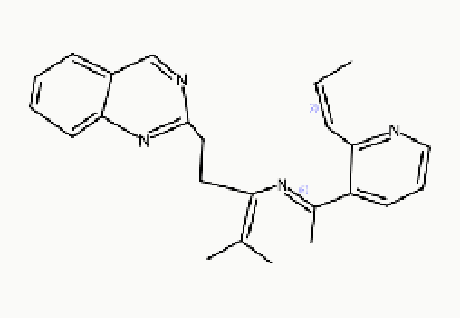 C/C=C\c1ncccc1/C(C)=N/C(CCc1ncc2ccccc2n1)=C(C)C